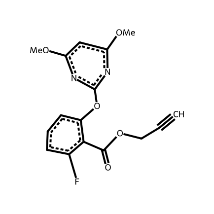 C#CCOC(=O)c1c(F)cccc1Oc1nc(OC)cc(OC)n1